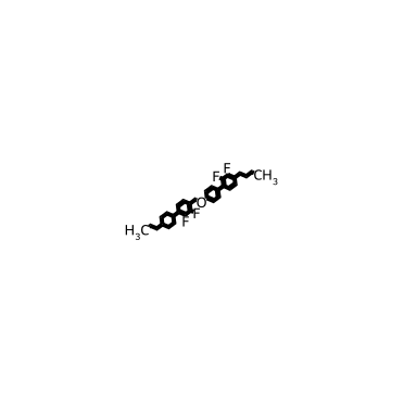 CCCCc1ccc(-c2ccc(OCc3ccc(C4CCC(CCC)CC4)c(F)c3F)cc2)c(F)c1F